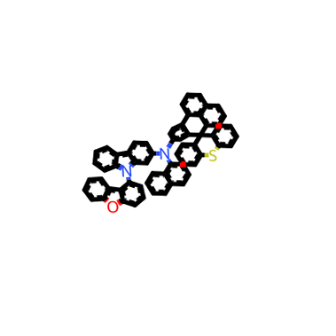 c1ccc2c(c1)Sc1ccccc1C21c2cc(N(c3ccc4c5ccccc5n(-c5cccc6oc7ccccc7c56)c4c3)c3cccc4ccccc34)ccc2-c2cccc3cccc1c23